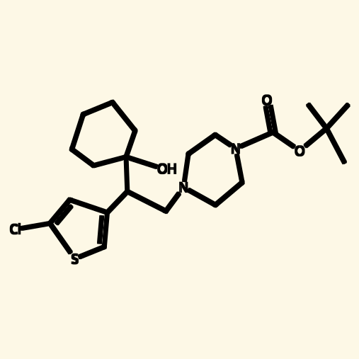 CC(C)(C)OC(=O)N1CCN(CC(c2csc(Cl)c2)C2(O)CCCCC2)CC1